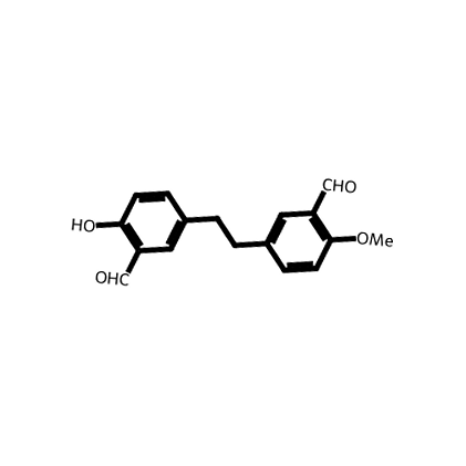 COc1ccc(CCc2ccc(O)c(C=O)c2)cc1C=O